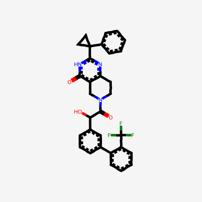 O=C(C(O)c1cccc(-c2ccccc2C(F)(F)F)c1)N1CCc2nc(C3(c4ccccc4)CC3)[nH]c(=O)c2C1